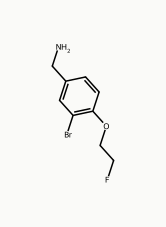 NCc1ccc(OCCF)c(Br)c1